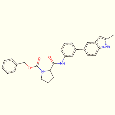 Cc1cc2cc(-c3cccc(NC(=O)C4CCCN4C(=O)OCc4ccccc4)c3)ccc2[nH]1